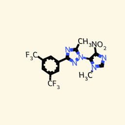 Cc1nc(-c2cc(C(F)(F)F)cc(C(F)(F)F)c2)nn1-c1c([N+](=O)[O-])ncn1C